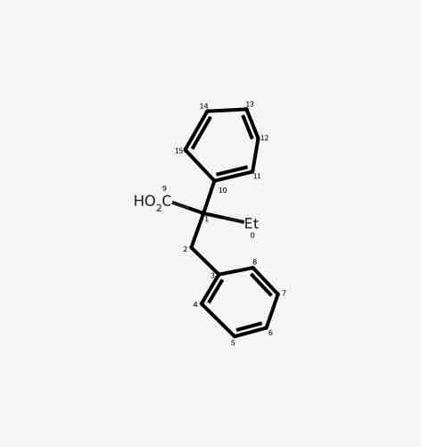 CCC(Cc1ccccc1)(C(=O)O)c1ccccc1